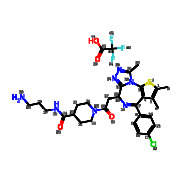 Cc1sc2c(c1C)C(c1ccc(Cl)cc1)=N[C@@H](CC(=O)N1CCC(C(=O)NCCCN)CC1)c1nnc(C)n1-2.O=C(O)C(F)(F)F